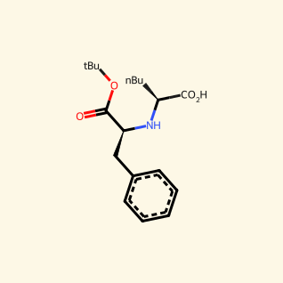 CCCC[C@H](N[C@@H](Cc1ccccc1)C(=O)OC(C)(C)C)C(=O)O